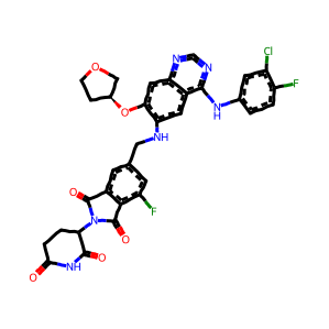 O=C1CCC(N2C(=O)c3cc(CNc4cc5c(Nc6ccc(F)c(Cl)c6)ncnc5cc4O[C@H]4CCOC4)cc(F)c3C2=O)C(=O)N1